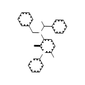 CC(c1ccccc1)N(Cc1ccccc1)c1ccc(F)n(-c2ccccn2)c1=O